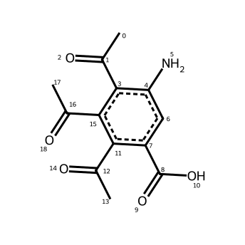 CC(=O)c1c(N)cc(C(=O)O)c(C(C)=O)c1C(C)=O